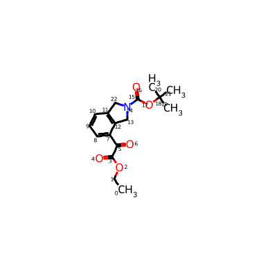 CCOC(=O)C(=O)c1cccc2c1CN(C(=O)OC(C)(C)C)C2